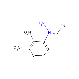 N#CCN(N)c1cccc([N+](=O)[O-])c1[N+](=O)[O-]